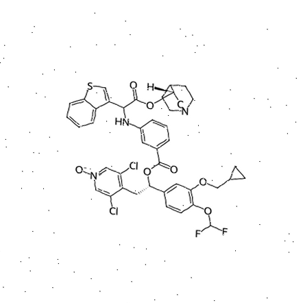 O=C(O[C@@H](Cc1c(Cl)c[n+]([O-])cc1Cl)c1ccc(OC(F)F)c(OCC2CC2)c1)c1cccc(NC(C(=O)O[C@H]2CN3CCC2CC3)c2csc3ccccc23)c1